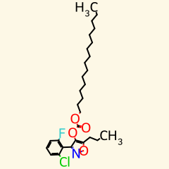 CCCCCCCCCCCCCCCCOC(=O)Oc1c(-c2c(F)cccc2Cl)noc1CCC